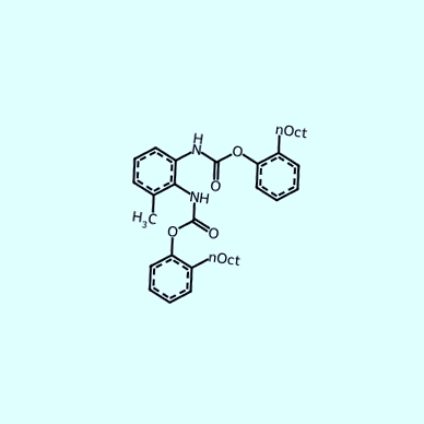 CCCCCCCCc1ccccc1OC(=O)Nc1cccc(C)c1NC(=O)Oc1ccccc1CCCCCCCC